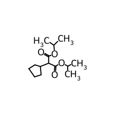 CC(C)OC(=O)C(C(=O)OC(C)C)C1CCCC1